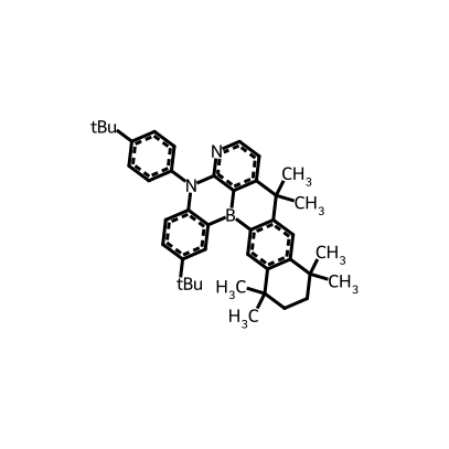 CC(C)(C)c1ccc(N2c3ccc(C(C)(C)C)cc3B3c4cc5c(cc4C(C)(C)c4ccnc2c43)C(C)(C)CCC5(C)C)cc1